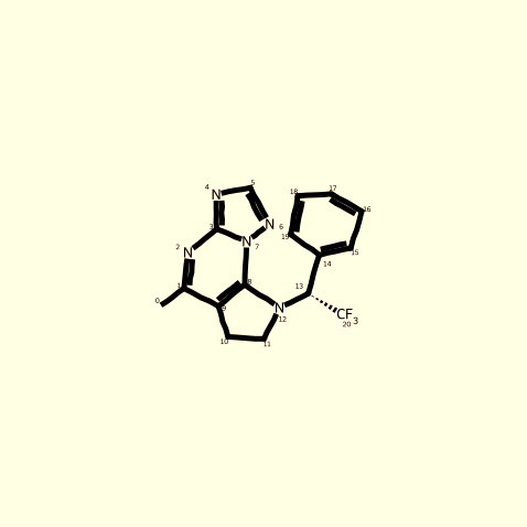 Cc1nc2ncnn2c2c1CCN2[C@H](c1ccccc1)C(F)(F)F